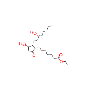 CCCCCC(O)CC[C@H]1[C@H](O)CC(=O)[C@H]1CCCCCCC(=O)OCC